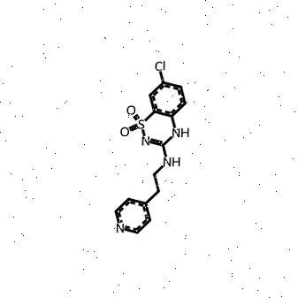 O=S1(=O)N=C(NCCc2ccncc2)Nc2ccc(Cl)cc21